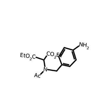 CCOC(=O)C(C(=O)OCC)N(Cc1ccc(N)cc1)C(C)=O